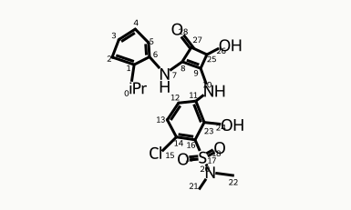 CC(C)c1ccccc1NC1=C(Nc2ccc(Cl)c(S(=O)(=O)N(C)C)c2O)C(O)C1=O